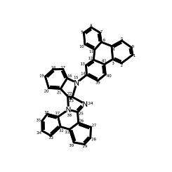 c1ccc2c(c1)c1ccccc1c1cc(-n3c4ccccc4c4c3nc3c5ccccc5c5ccccc5n34)ccc21